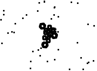 CCC1(C(=O)Oc2ccccc2)C(=O)N(C(=O)Oc2ccccc2)c2ccccc21